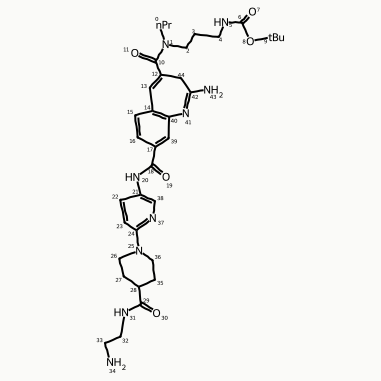 CCCN(CCCNC(=O)OC(C)(C)C)C(=O)C1=Cc2ccc(C(=O)Nc3ccc(N4CCC(C(=O)NCCN)CC4)nc3)cc2N=C(N)C1